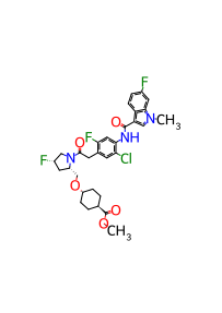 COC(=O)[C@H]1CC[C@H](OC[C@@H]2C[C@H](F)CN2C(=O)Cc2cc(Cl)c(NC(=O)c3cn(C)c4cc(F)ccc34)cc2F)CC1